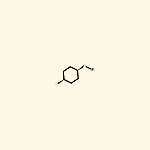 CC[C@H]1CC[C@@H](OC(C)C)CC1